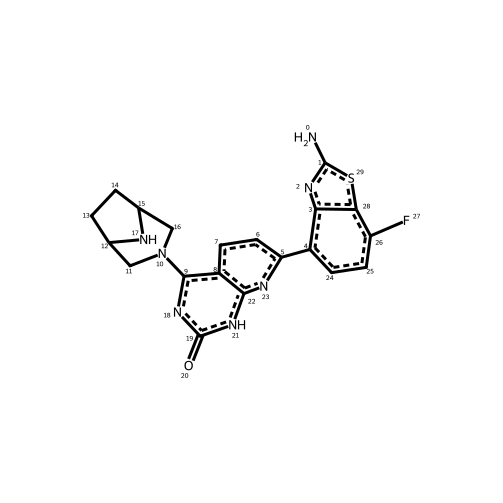 Nc1nc2c(-c3ccc4c(N5CC6CCC(C5)N6)nc(=O)[nH]c4n3)ccc(F)c2s1